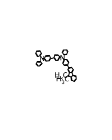 CC1(C)c2ccccc2-c2ccc(-c3ccc(N(c4ccccc4)c4ccc(-c5ccc(N(c6ccccc6)c6ccccc6)cc5)cc4)cc3)cc21